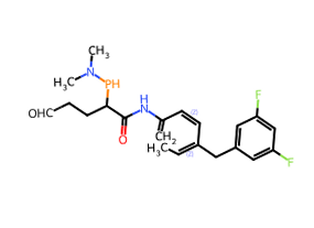 C=C(/C=C\C(=C/C)Cc1cc(F)cc(F)c1)NC(=O)C(CCC=O)PN(C)C